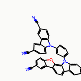 N#Cc1ccc2oc3c(ccc4c5ccccc5n(-c5cccc(-n6c7ccc(C#N)cc7c7cc(C#N)ccc76)c5)c43)c2c1